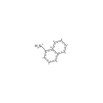 [SiH3]c1cccc2ccccc12